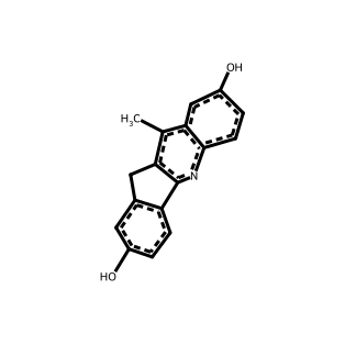 Cc1c2c(nc3ccc(O)cc13)-c1ccc(O)cc1C2